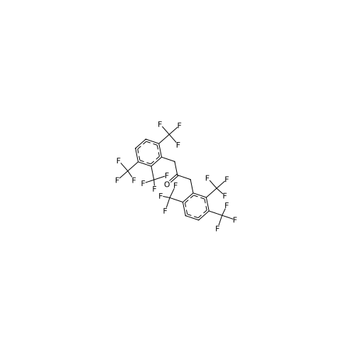 O=C(Cc1c(C(F)(F)F)ccc(C(F)(F)F)c1C(F)(F)F)Cc1c(C(F)(F)F)ccc(C(F)(F)F)c1C(F)(F)F